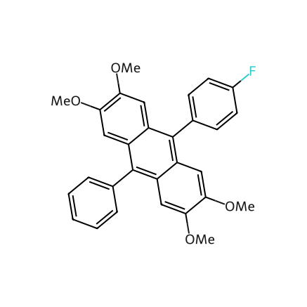 COc1cc2c(-c3ccccc3)c3cc(OC)c(OC)cc3c(-c3ccc(F)cc3)c2cc1OC